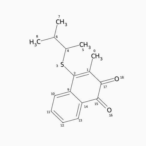 CC1=C(SC(C)C(C)C)c2ccccc2C(=O)C1=O